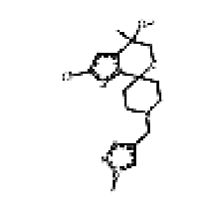 Cn1cc(CN2CCC3(CC2)OCC(C)(O)c2cc(Cl)sc23)cn1